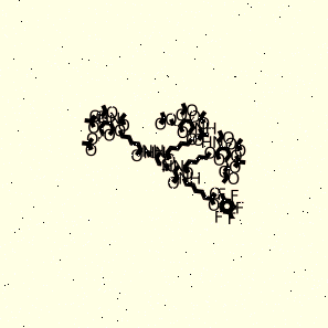 CC(=O)N[C@H]1[C@H](OCCCCC(=O)NC[C@@H](CSC[C@H](NC(=O)CCCCO[C@@H]2O[C@H](COC(C)=O)[C@H](OC(C)=O)[C@H](OC(C)=O)[C@H]2NC(C)=O)C(=O)NCCCCCC(=O)Oc2c(F)c(F)c(F)c(F)c2F)NC(=O)CCCCO[C@@H]2O[C@H](COC(C)=O)[C@H](OC(C)=O)[C@H](OC(C)=O)[C@H]2NC(C)=O)O[C@H](COC(C)=O)[C@H](OC(C)=O)[C@@H]1OC(C)=O